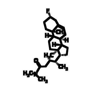 C[C@H](CCC(=O)N(C)C)[C@H]1CC[C@H]2[C@@H]3CC=C4C[C@@H](F)CC[C@]4(C)[C@H]3CC[C@]12C